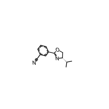 CC(C)[C@H]1COC(c2cccc(C#N)c2)=N1